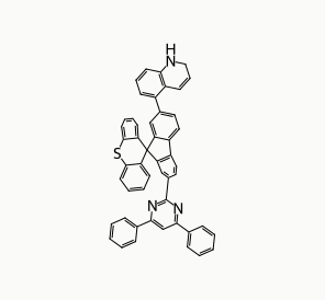 C1=Cc2c(cccc2-c2ccc3c(c2)C2(c4ccccc4Sc4ccccc42)c2cc(-c4nc(-c5ccccc5)cc(-c5ccccc5)n4)ccc2-3)NC1